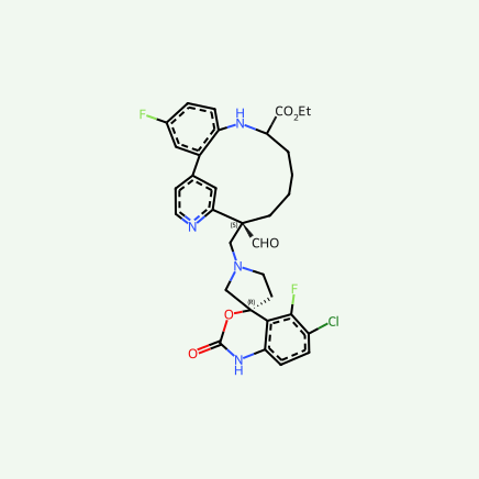 CCOC(=O)C1CCCC[C@](C=O)(CN2CC[C@@]3(C2)OC(=O)Nc2ccc(Cl)c(F)c23)c2cc(ccn2)-c2cc(F)ccc2N1